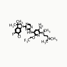 CN(C)CCN(C)c1nc(OCC(F)(F)F)c(Nc2ncnc(N3CC(C)(C)c4cc(F)c(Cl)cc43)n2)cc1N